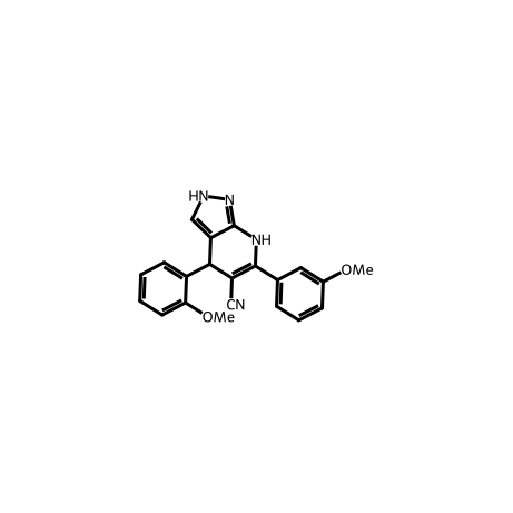 COc1cccc(C2=C(C#N)C(c3ccccc3OC)c3c[nH]nc3N2)c1